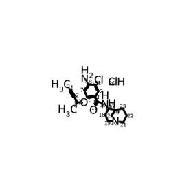 CC#C[C@H](C)Oc1cc(N)c(Cl)cc1C(=O)N[C@H]1CCN2CCC[C@H]1C2.Cl